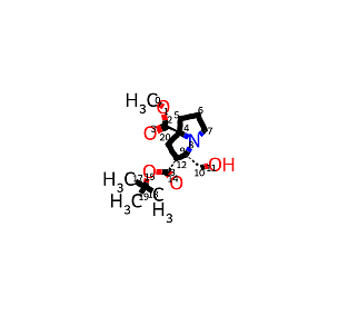 COC(=O)[C@@]12CCCN1[C@H](CO)[C@H](C(=O)OC(C)(C)C)C2